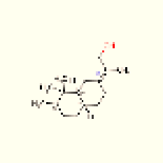 C/C(CO)=C1\CC[C@@H]2CC[C@@H](C)C(C)(C)[C@H]2C1